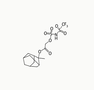 CC1(OC(=O)COS(=O)(=O)NS(=O)(=O)C(F)(F)F)C2CC3CC(C2)CC1C3